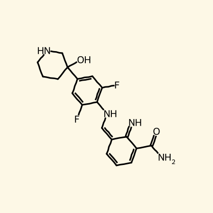 N=C1C(C(N)=O)=CC=C/C1=C/Nc1c(F)cc(C2(O)CCCNC2)cc1F